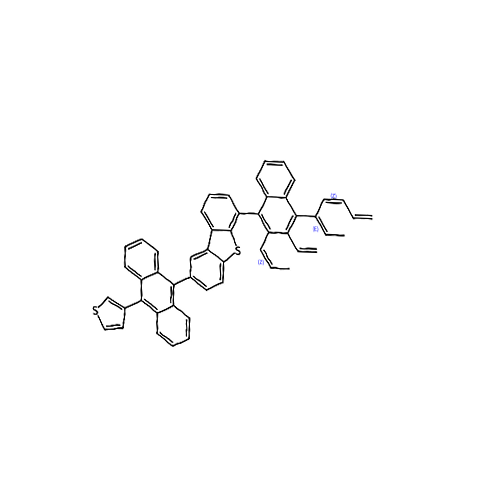 C=C/C=C\C(=C/C)c1c(C=C)c(/C=C\C)c(-c2cccc3c2sc2ccc(-c4c5ccccc5c(-c5ccsc5)c5ccccc45)cc23)c2ccccc12